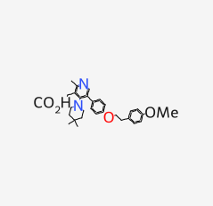 COc1ccc(CCOc2ccc(-c3cnc(C)c(CC(=O)O)c3N3CCC(C)(C)CC3)cc2)cc1